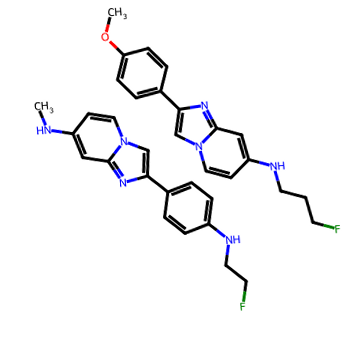 CNc1ccn2cc(-c3ccc(NCCF)cc3)nc2c1.COc1ccc(-c2cn3ccc(NCCCF)cc3n2)cc1